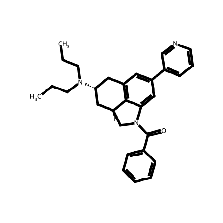 CCCN(CCC)[C@@H]1Cc2cc(-c3cccnc3)cc3c2[C@@H](C1)CN3C(=O)c1ccccc1